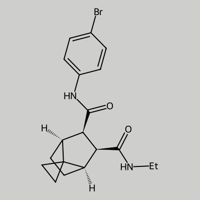 CCNC(=O)[C@@H]1[C@H](C(=O)Nc2ccc(Br)cc2)[C@@H]2CC[C@H]1C21CC1